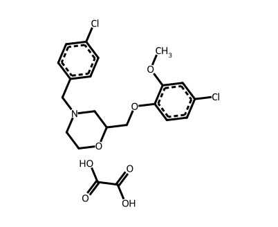 COc1cc(Cl)ccc1OCC1CN(Cc2ccc(Cl)cc2)CCO1.O=C(O)C(=O)O